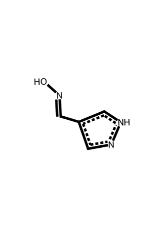 O/N=C/c1cn[nH]c1